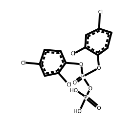 O=P(O)(O)OP(=O)(Oc1ccc(Cl)cc1Cl)Oc1ccc(Cl)cc1Cl